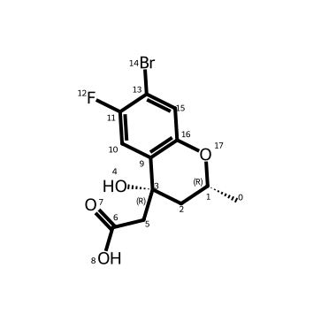 C[C@@H]1C[C@@](O)(CC(=O)O)c2cc(F)c(Br)cc2O1